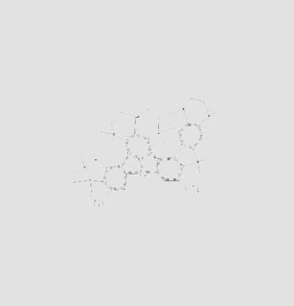 CC1(C)CCC(C)(C)c2cc3c(cc21)-c1c(c(C#N)cc2c1c1c4c5c(c6c7c8c(c(C#N)cc7n2c16)C(C)(C)C(C)(C)C8(C)C)C(C)(C)CCC5(C)CCC4(C)C)C3(C)C